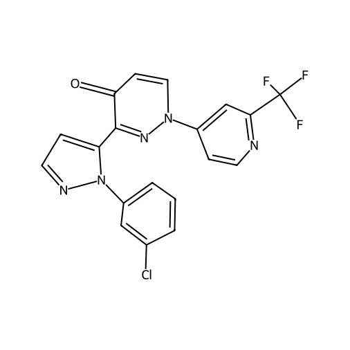 O=c1ccn(-c2ccnc(C(F)(F)F)c2)nc1-c1ccnn1-c1cccc(Cl)c1